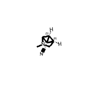 CN1C[C@@H]2[C@@H]3C1[C@]23C#N